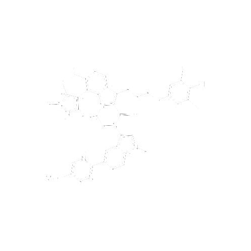 COc1cnc(-c2ccc3c(c2)c(N2CC(C)n4c(c(CCCOc5cc(C)c(Cl)c(C)c5)c5ccc(Cl)c(-c6c(C)nn(C)c6C)c54)C2=O)cn3C)nc1